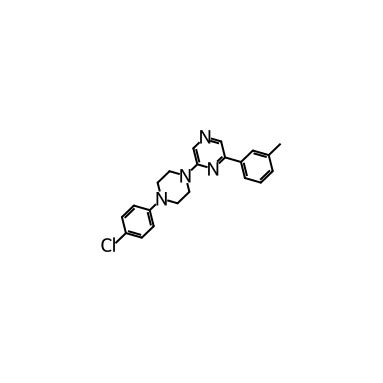 Cc1cccc(-c2cncc(N3CCN(c4ccc(Cl)cc4)CC3)n2)c1